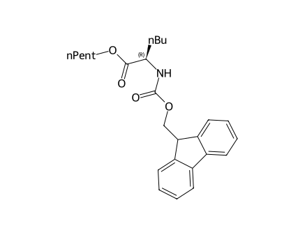 CCCCCOC(=O)[C@@H](CCCC)NC(=O)OCC1c2ccccc2-c2ccccc21